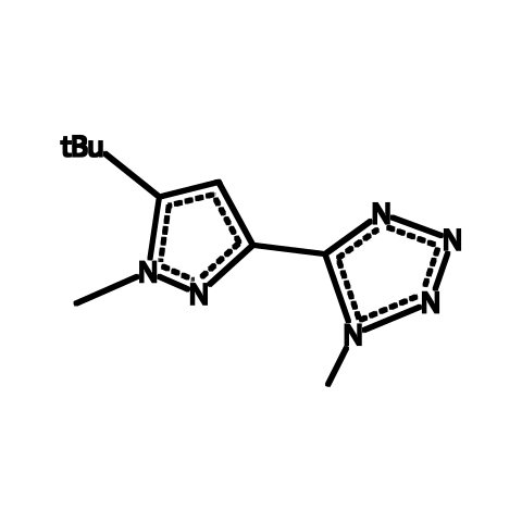 Cn1nc(-c2nnnn2C)cc1C(C)(C)C